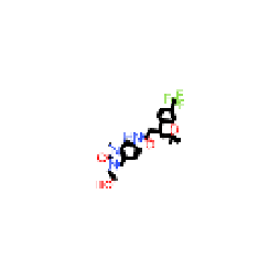 CN1C(=O)N(CCO)Cc2ccc(NC(=O)/C=C3\CC(C)(C)Oc4cc(C(F)(F)F)ccc43)cc21